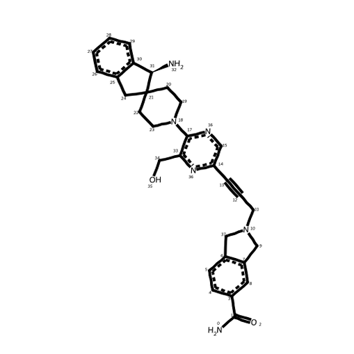 NC(=O)c1ccc2c(c1)CN(CC#Cc1cnc(N3CCC4(CC3)Cc3ccccc3[C@H]4N)c(CO)n1)C2